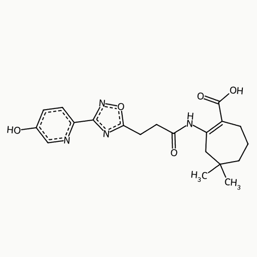 CC1(C)CCCC(C(=O)O)=C(NC(=O)CCc2nc(-c3ccc(O)cn3)no2)C1